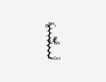 CCCCCCCC/C=C\CCCCCCCCCCCC(N)=O.CCC[NH2+][O-]